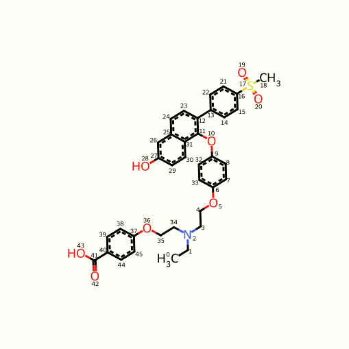 CCN(CCOc1ccc(Oc2c(-c3ccc(S(C)(=O)=O)cc3)ccc3cc(O)ccc23)cc1)CCOc1ccc(C(=O)O)cc1